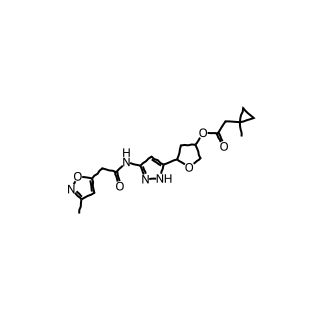 Cc1cc(CC(=O)Nc2cc(C3CC(OC(=O)CC4(C)CC4)CO3)[nH]n2)on1